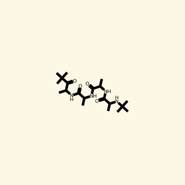 CC(NC(=O)C(C)NC(C)(C)C)C(=O)NC(C)C(=O)NC(C)C(=O)C(C)(C)C